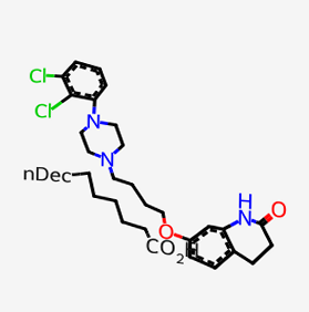 CCCCCCCCCCCCCCCC(=O)O.O=C1CCc2ccc(OCCCCN3CCN(c4cccc(Cl)c4Cl)CC3)cc2N1